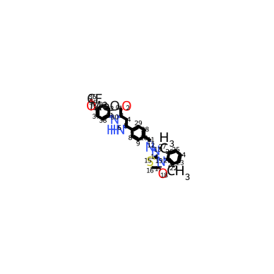 COC(=O)C(CC(=N)c1ccc(/C=N/N=C2\SCC(=O)N2c2c(C)cccc2C)cc1)Nc1ccc(OC(F)(F)F)cc1